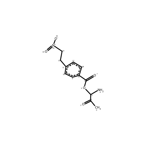 CC(=O)C(N)OC(=O)c1ccc(CC[N+](=O)[O-])cc1